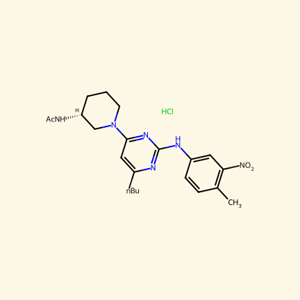 CCCCc1cc(N2CCC[C@@H](NC(C)=O)C2)nc(Nc2ccc(C)c([N+](=O)[O-])c2)n1.Cl